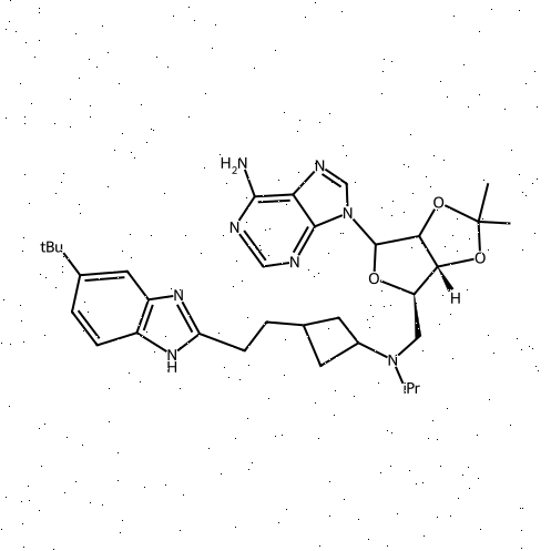 CC(C)N(C[C@H]1OC(n2cnc3c(N)ncnc32)C2OC(C)(C)O[C@@H]21)C1CC(CCc2nc3cc(C(C)(C)C)ccc3[nH]2)C1